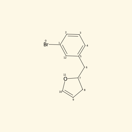 Brc1cccc(CC2CC=CO2)c1